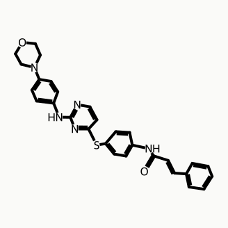 O=C(C=Cc1ccccc1)Nc1ccc(Sc2ccnc(Nc3ccc(N4CCOCC4)cc3)n2)cc1